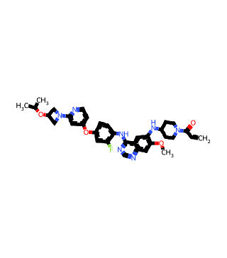 C=CC(=O)N1CCC(Nc2cc3c(Nc4ccc(Oc5ccnc(N6CC(OC(C)C)C6)c5)cc4F)ncnc3cc2OC)CC1